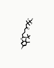 Cc1cc(F)cc2nc(CCCC(=O)CC(C)(C)C(F)(F)F)n(C(C)(C)C)c12